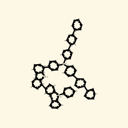 c1ccc(-c2ccc(-c3ccc(N(c4ccc(-c5ccc(-c6ccccc6)cc5)cc4)c4ccc(-c5cccc6c5oc5c(-c7ccc8c(c7)c7ccccc7n8-c7ccccc7)cccc56)cc4)cc3)cc2)cc1